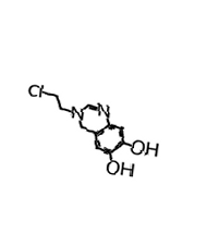 Oc1cc2c(cc1O)N=CN(CCCl)C2